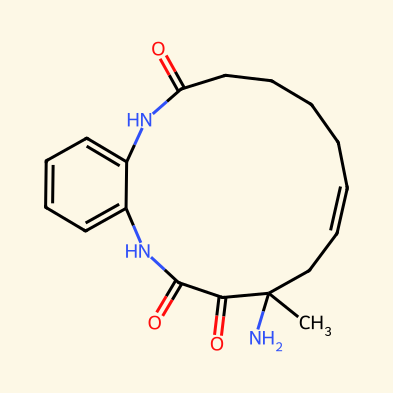 CC1(N)CC=CCCCCC(=O)Nc2ccccc2NC(=O)C1=O